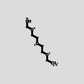 [CH2]COCCOCCOCO